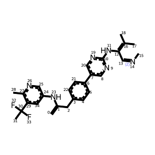 C=C(Cc1ccc(-c2cnc(NC(/C=N\C)=C(C)C)nc2)cc1)Nc1cnc(C)c(C(C)(F)F)c1